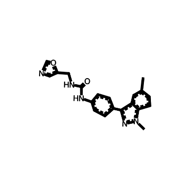 Cc1ccc2c(c1)c(-c1ccc(NC(=O)NCc3cnco3)cc1)nn2C